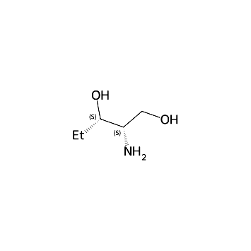 CC[C@H](O)[C@@H](N)CO